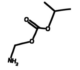 CC(C)OC(=O)OCN